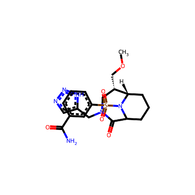 COC[C@H]1CN(Cc2cnn[nH]2)C(=O)C2CCC[C@@H]1N2S(=O)(=O)c1cccc(C(N)=O)c1